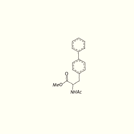 COC(=O)C(Cc1ccc(-c2ccccc2)cc1)NC(C)=O